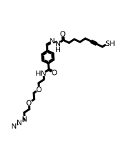 [N-]=[N+]=NCCOCCOCCNC(=O)c1ccc(/C=N\NC(=O)CCCCC#CCS)cc1